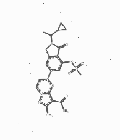 CC(C1CC1)N1Cc2cc(-c3ccn4nc(N)c(C(N)=O)c4n3)cc(NS(C)(=O)=O)c2C1=O